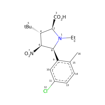 CCN1[C@H](C(=O)O)[C@@H](C(C)(C)C)[C@H]([N+](=O)[O-])[C@@H]1c1cc(Cl)ccc1C